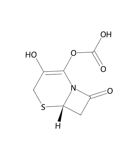 O=C(O)OC1=C(O)CS[C@H]2CC(=O)N12